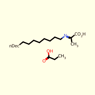 CCC(=O)O.CCCCCCCCCCCCCCCCCCN=C(C)C(=O)O